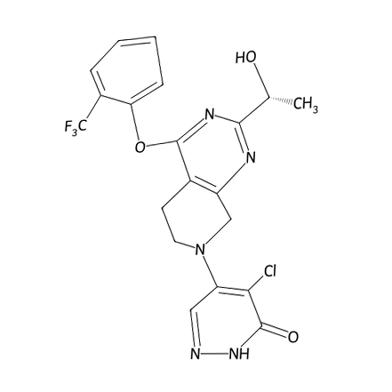 C[C@@H](O)c1nc2c(c(Oc3ccccc3C(F)(F)F)n1)CCN(c1cn[nH]c(=O)c1Cl)C2